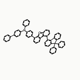 c1ccc(-c2ccc(N(c3ccccc3)c3ccc(-c4cccc5c4oc4cccc(-c6cccc7c6-c6ccccc6C7(c6ccccc6)c6ccccc6)c45)cc3)cc2)cc1